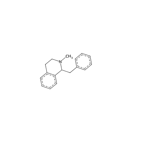 CN1CCc2ccccc2C1Cc1ccccc1